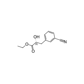 CCOC(=O)[C@H](O)Cc1cccc(C#N)c1